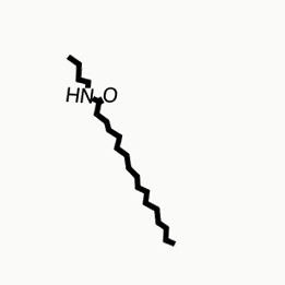 CCCCCCCCCCCCCCCCC(=O)NCCCC